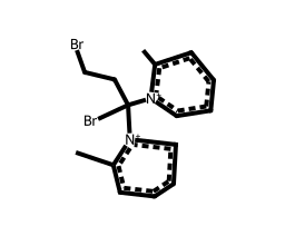 Cc1cccc[n+]1C(Br)(CCBr)[n+]1ccccc1C